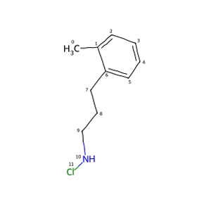 Cc1ccccc1CCCNCl